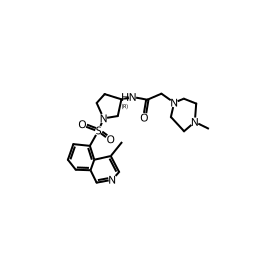 Cc1cncc2cccc(S(=O)(=O)N3CC[C@@H](NC(=O)CN4CCN(C)CC4)C3)c12